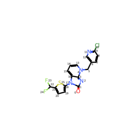 O=c1nc2n(Cc3ccc(Cl)nc3)cccc-2n1-c1ccc(C(F)F)s1